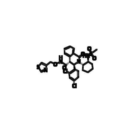 CS(=O)(=O)N[C@H]1CCCC[C@@H]1N1C(=O)c2ccccc2[C@@H](C(=O)NOCc2cscn2)[C@@H]1c1ccc(Cl)cc1Cl